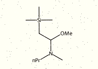 CCCN(C)C(C[Si](C)(C)C)OC